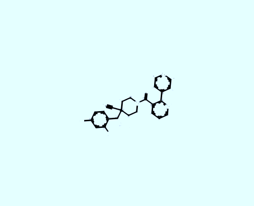 C[C@H](c1ccc(F)cc1F)C1(C#N)CCN(C(=O)c2cccnc2-c2ccncc2)CC1